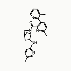 Cc1ccc(NC2CC3CC2N(C(=O)c2nc(C)ccc2-c2ncccc2C)C3)nc1